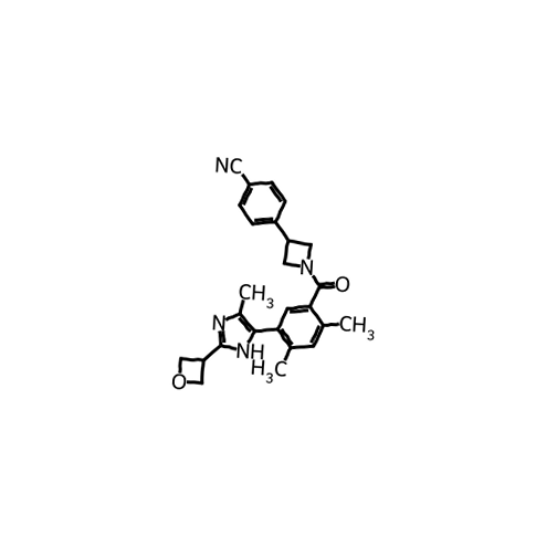 Cc1cc(C)c(-c2[nH]c(C3COC3)nc2C)cc1C(=O)N1CC(c2ccc(C#N)cc2)C1